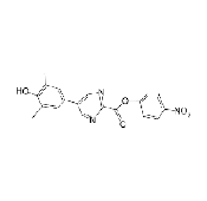 Cc1cc(-c2cnc(C(=O)Oc3ccc([N+](=O)[O-])cc3)nc2)cc(C)c1O